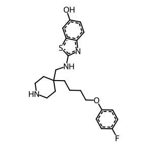 Oc1ccc2nc(NCC3(CCCCOc4ccc(F)cc4)CCNCC3)sc2c1